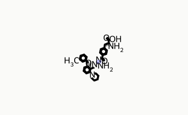 Cc1cccc(Oc2cccc(N3CCCCC3)c2CN/C(N)=N/C(=O)c2ccc(C[C@H](N)C(=O)O)cc2)c1